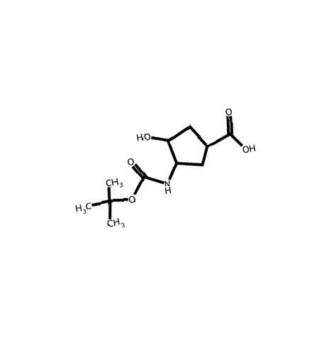 CC(C)(C)OC(=O)NC1CC(C(=O)O)CC1O